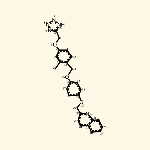 Cc1cc(OCc2nnn[nH]2)ccc1COc1ccc(OCc2ccc3ccccc3n2)cc1